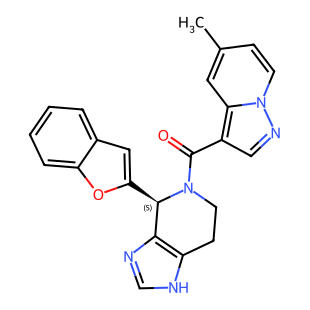 Cc1ccn2ncc(C(=O)N3CCc4[nH]cnc4[C@H]3c3cc4ccccc4o3)c2c1